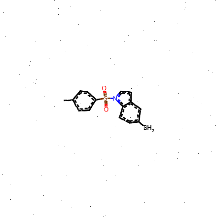 Bc1ccc2c(ccn2S(=O)(=O)c2ccc(C)cc2)c1